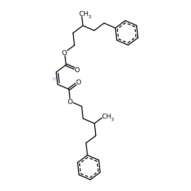 CC(CCOC(=O)/C=C\C(=O)OCCC(C)CCc1ccccc1)CCc1ccccc1